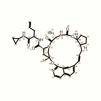 C=CCC(NC(=O)[C@@H]1C[C@@H]2CN1C(=O)[C@H](C(C)(C)C)NC(=O)O[C@@H]1CCC[C@H]1C/C=C/c1ccc3ccnc(c3c1)O2)C(=O)NC1CC1